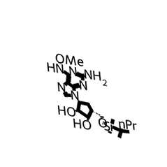 CCCC(C)(C)[Si](C)(C)OC[C@H]1C[C@@H](n2cnc3c(NOC)nc(N)nc32)[C@H](O)[C@@H]1O